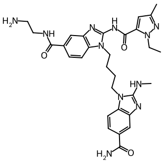 CCn1nc(C)cc1C(=O)Nc1nc2cc(C(=O)NCCN)ccc2n1CCCCn1c(NC)nc2cc(C(N)=O)ccc21